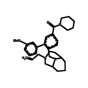 C=CCN1CCC2CCCC(C1)N2Cc1ccc(C(=O)N2CCCCC2)cc1-c1cccc(OC)c1